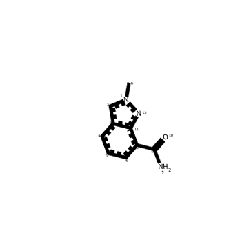 Cn1cc2cccc(C(N)=O)c2n1